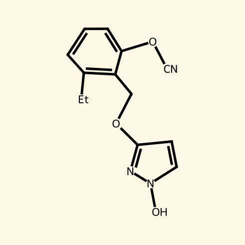 CCc1cccc(OC#N)c1COc1ccn(O)n1